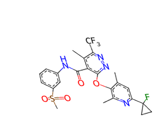 Cc1cc(C2(F)CC2)nc(C)c1Oc1nnc(C(F)(F)F)c(C)c1C(=O)Nc1cccc(S(C)(=O)=O)c1